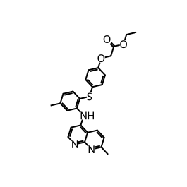 CCOC(=O)COc1ccc(Sc2ccc(C)cc2Nc2ccnc3nc(C)ccc23)cc1